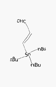 CCC[CH2][Sn](/[CH]=C/C=O)([CH2]CCC)[CH2]CCC